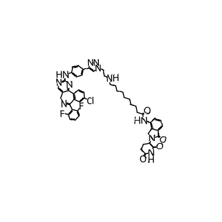 O=C1CCC(N2Cc3c(NC(=O)CCCCCCCCCNCCn4cc(-c5ccc(Nc6ncc7c(n6)-c6ccc(Cl)cc6C(c6c(F)cccc6F)=NC7)cc5)nn4)cccc3C2=O)C(=O)N1